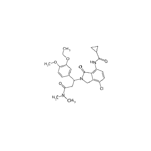 CCOc1cc(C(CC(=O)N(C)C)N2Cc3c(Cl)ccc(NC(=O)C4CC4)c3C2=O)ccc1OC